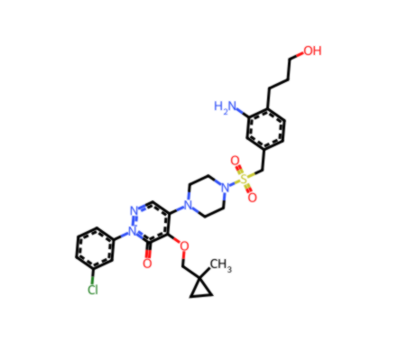 CC1(COc2c(N3CCN(S(=O)(=O)Cc4ccc(CCCO)c(N)c4)CC3)cnn(-c3cccc(Cl)c3)c2=O)CC1